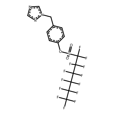 O=S(=O)(Oc1ccc(Cn2cncn2)cc1)C(F)(F)C(F)(F)C(F)(F)C(F)(F)C(F)(F)C(F)(F)F